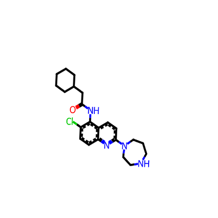 O=C(CC1CCCCC1)Nc1c(Cl)ccc2nc(N3CCCNCC3)ccc12